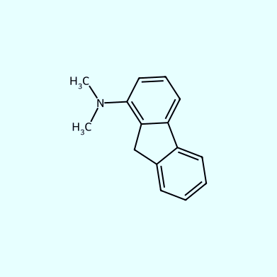 CN(C)c1cccc2c1Cc1ccccc1-2